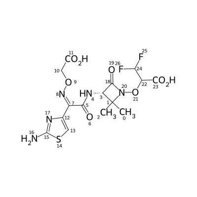 CC1(C)[C@H](NC(=O)/C(=N\OCC(=O)O)c2csc(N)n2)C(=O)N1OC(C(=O)O)C(F)F